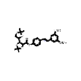 COc1cc(/C=C/c2ccc(OC(=O)C3OC(C)(C)OC3C3COC(C)(C)O3)cc2)cc(OC)c1